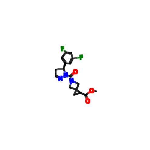 COC(=O)C1CC12CN(C(=O)N1N=CC[C@H]1c1cc(F)cc(F)c1)C2